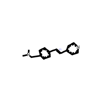 CN(C)Cc1ccc(/C=C/c2ccncc2)cc1